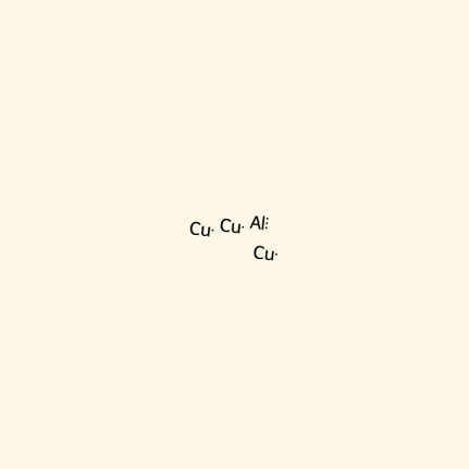 [Al].[Cu].[Cu].[Cu]